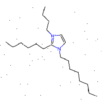 CCCCCCCCn1cc[n+](CCCC)c1CCCCCC